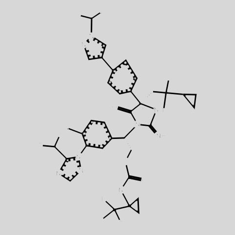 CC(C)(C[C@]1(c2ccc(-c3cnn(C(F)F)c3)cc2)NC(=N)N([C@H](COC(=O)NC2(C(F)(F)F)CC2)c2ccc(Cl)c(-n3ncnc3C(F)F)c2)C1=O)C1CC1